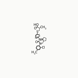 Cc1ccc(N(CC2CCCC2)C(=O)Nc2ncc(SCC(C)C(=O)O)s2)c(Cl)c1